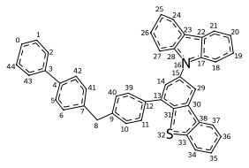 c1ccc(-c2ccc(Cc3ccc(-c4cc(-n5c6ccccc6c6ccccc65)cc5c4sc4ccccc45)cc3)cc2)cc1